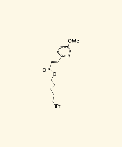 COc1ccc(C=CC(=O)OCCCCCC(C)C)cc1